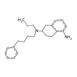 CCCN(CCCCc1ccccc1)C1CCc2c(N)cccc2C1